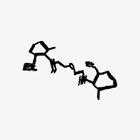 CCc1cccc(C)c1NCCOCCNc1c(C)cccc1CC